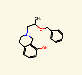 CC(CN1CCc2cccc(O)c2C1)OCc1ccccc1